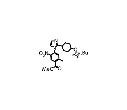 COC(=O)c1cc([N+](=O)[O-])c(-n2ccnc2C2CCC(O[Si](C)(C)C(C)(C)C)CC2)cc1C